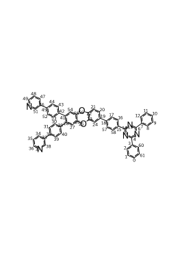 c1ccc(-c2nc(-c3ccccc3)nc(-c3ccc(-c4ccc5c(c4)Oc4cc(-c6ccc(-c7cccnc7)cc6)c(-c6ccc(-c7cccnc7)cc6)cc4O5)cc3)n2)cc1